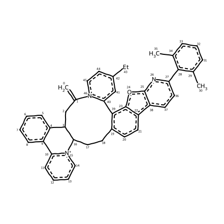 C=C1CC2c3ccccc3-c3cccc[n+]3C2CCc2ccc3c(oc4nc(-c5c(C)cccc5C)ccc43)c2-c2cc(CC)cc[n+]21